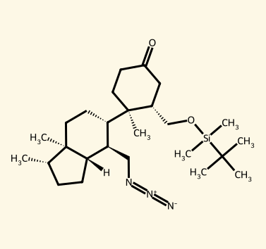 C[C@H]1CC[C@H]2[C@H](CN=[N+]=[N-])[C@@H]([C@@]3(C)CCC(=O)C[C@@H]3CO[Si](C)(C)C(C)(C)C)CC[C@]12C